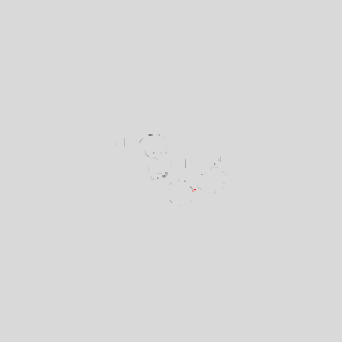 Clc1ccc(CP(CBr)(c2ccccc2)(c2ccccc2)c2ccccc2)c(Br)c1